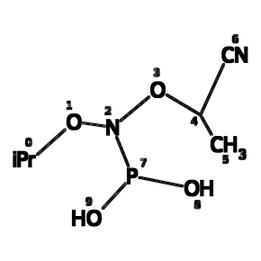 CC(C)ON(OC(C)C#N)P(O)O